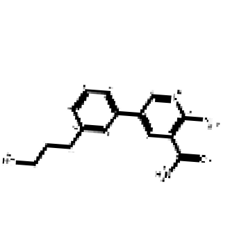 NC(=O)c1cc(-c2cccc(CCCO)c2)cnc1N